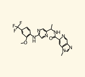 COc1cc(C(F)(F)F)ccc1Nc1cnc(C(C)NC(=O)c2cc3c(cn2)ncn3C)cn1